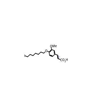 COc1cc(/C=C/C(=O)O)ccc1OCCCCCCCI